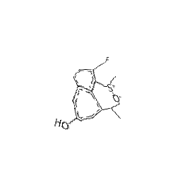 CC(C)c1cc(O)cc2ccc(F)c([S+](C)[O-])c12